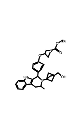 CC1Cc2c([nH]c3ccccc23)C(c2ccc(OC3CN(C(=O)OC(C)(C)C)C3)cc2)N1C12CC(CO)(C1)C2